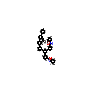 CC1(C)c2cc(-c3ccccc3)ccc2-c2ccc(-c3cccc(-c4cc(-c5cccc(-c6nc7ccccc7o6)c5)cc(-c5cccc(-c6nc7ccccc7o6)c5)c4)c3)cc21